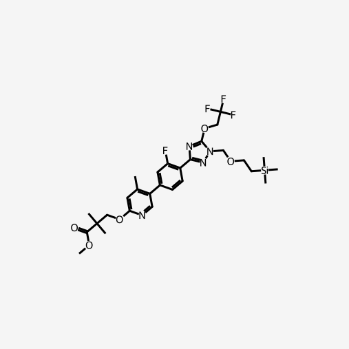 COC(=O)C(C)(C)COc1cc(C)c(-c2ccc(-c3nc(OCC(F)(F)F)n(COCC[Si](C)(C)C)n3)c(F)c2)cn1